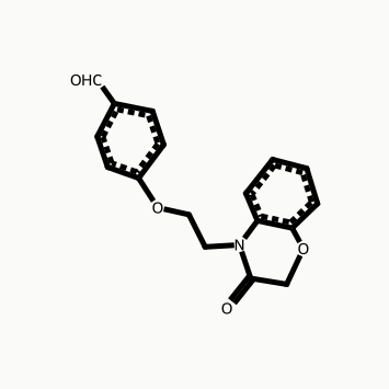 O=Cc1ccc(OCCN2C(=O)COc3ccccc32)cc1